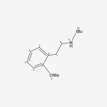 COc1ccccc1CCNC(C)(C)C